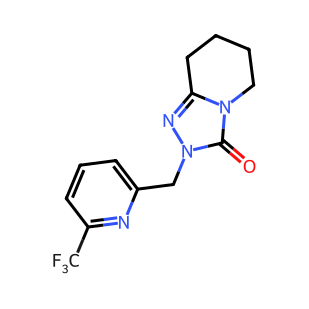 O=c1n(Cc2cccc(C(F)(F)F)n2)nc2n1CCCC2